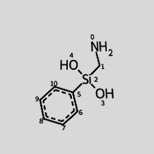 NC[Si](O)(O)c1ccccc1